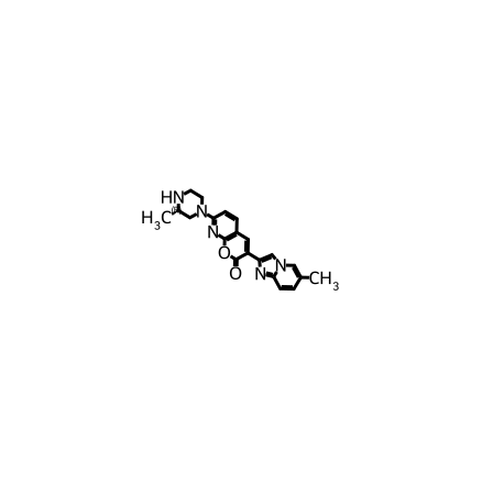 Cc1ccc2nc(-c3cc4ccc(N5CCN[C@H](C)C5)nc4oc3=O)cn2c1